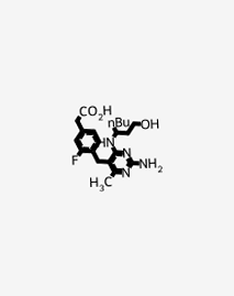 CCCCC(CCO)Nc1nc(N)nc(C)c1Cc1ccc(CC(=O)O)cc1F